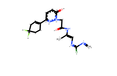 C=N/C(Cl)=N\C=C(/C)NC(=O)Cn1nc(C2=CCC(F)(F)CC2)ccc1=O